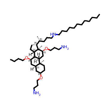 CCCCCCCCCCCCNCCC[C@@H](C)[C@H]1CC[C@H]2[C@@H]3[C@H](OCCCC)C[C@@H]4C[C@H](OCCCN)CC[C@]4(C)[C@H]3C[C@H](OCCCN)[C@]12C